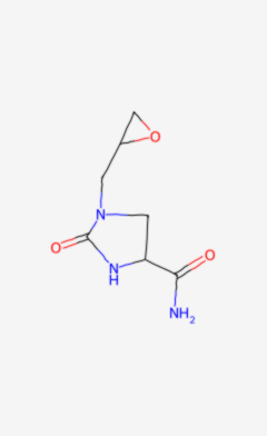 NC(=O)C1CN(CC2CO2)C(=O)N1